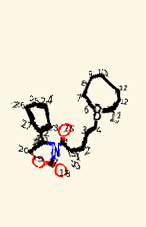 C[C@@H](CCCB1CCCCCCCC1)C(=O)N1C(=O)OC[C@H]1c1ccccc1